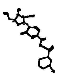 CC(=O)N1CCCC(C(=O)ONc2ccn([C@@H]3O[C@H](CO)[C@@H](O)[C@H]3O)c(=O)n2)C1